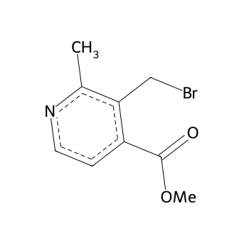 COC(=O)c1ccnc(C)c1CBr